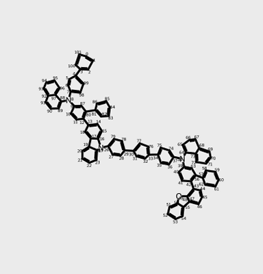 c1ccc(-c2ccc(N(c3ccc(-c4ccc5c(c4)c4ccccc4n5-c4ccc(-c5ccc(-c6ccc(N(c7ccc(-c8cccc9c8oc8ccccc89)c(-c8ccccc8)c7)c7cccc8ccccc78)cc6)cc5)cc4)c(-c4ccccc4)c3)c3cccc4ccccc34)cc2)cc1